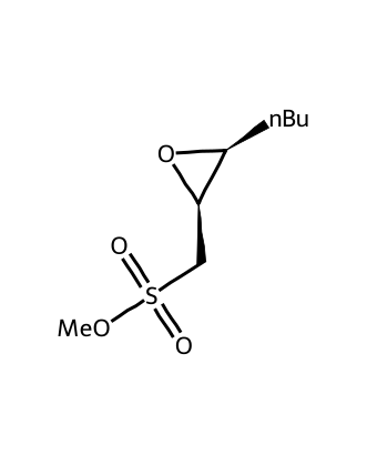 CCCC[C@@H]1O[C@@H]1CS(=O)(=O)OC